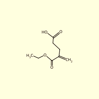 C=C(CCC(=O)O)C(=O)OCC